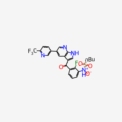 CCCCS(=O)(=O)[NH+]([O-])c1cccc(C(=O)c2c[nH]c3ncc(-c4ccc(C(F)(F)F)nc4)cc23)c1F